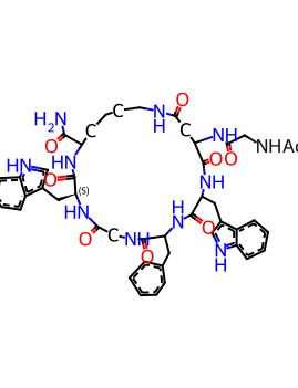 CC(=O)NCC(=O)NC1CC(=O)NCCCCC(C(N)=O)NC(=O)[C@H](Cc2c[nH]c3ccccc23)NC(=O)CNC(=O)C(Cc2ccccc2)NC(=O)C(Cc2c[nH]c3ccccc23)NC1=O